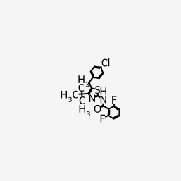 CC(C)(C)c1nc(NC(=O)c2c(F)cccc2F)sc1Cc1ccc(Cl)cc1